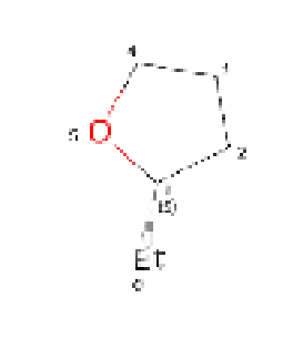 [CH2]C[C@H]1CCCO1